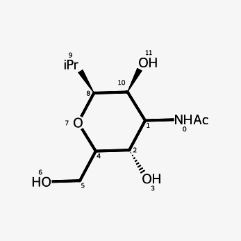 CC(=O)NC1[C@H](O)C(CO)O[C@@H](C(C)C)[C@H]1O